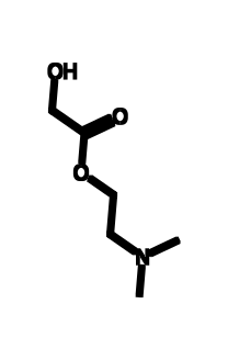 CN(C)CCOC(=O)CO